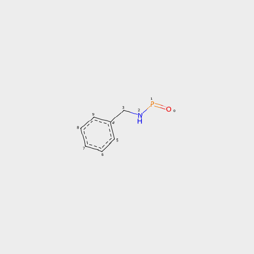 O=PNCc1ccccc1